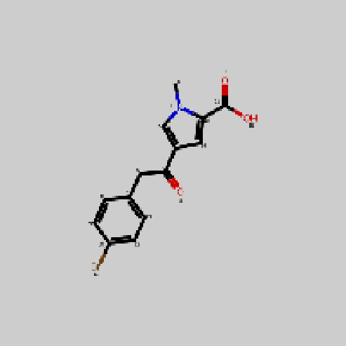 Cn1cc(C(=O)Cc2ccc(Br)cc2)cc1C(=O)O